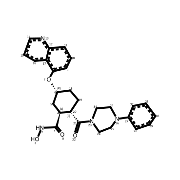 O=C(NO)[C@H]1C[C@H](Oc2cccc3ncccc23)CC[C@@H]1C(=O)N1CCN(c2ccccc2)CC1